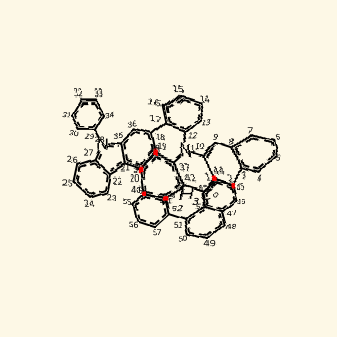 CC1Cc2ccccc2C=C1N(c1ccccc1-c1ccc2c3ccccc3n(-c3ccccc3)c2c1)c1ccccc1-c1cccc2cccc(-c3ccccc3)c12